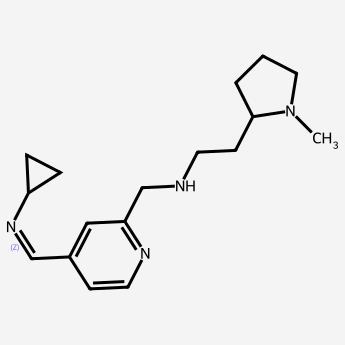 CN1CCCC1CCNCc1cc(/C=N\C2CC2)ccn1